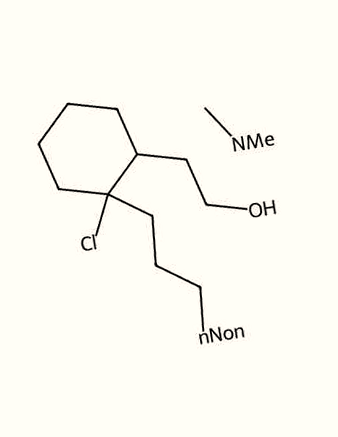 CCCCCCCCCCCCC1(Cl)CCCCC1CCO.CNC